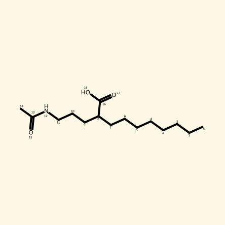 CCCCCCCCC(CCCNC(C)=O)C(=O)O